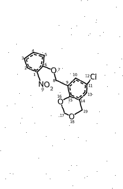 O=[N+]([O-])c1ccccc1OCc1cc(Cl)cc2c1OCOC2